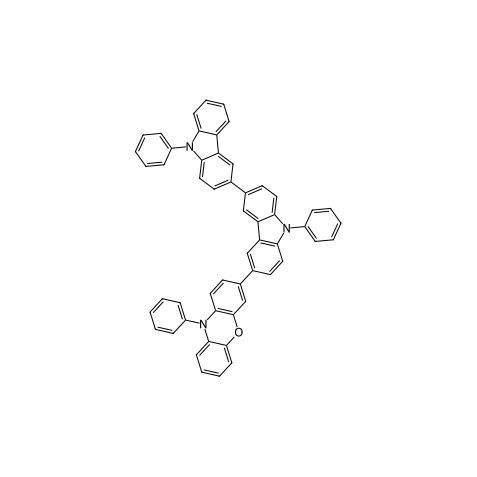 c1ccc(N2c3ccccc3Oc3cc(-c4ccc5c(c4)c4cc(-c6ccc7c(c6)c6ccccc6n7-c6ccccc6)ccc4n5-c4ccccc4)ccc32)cc1